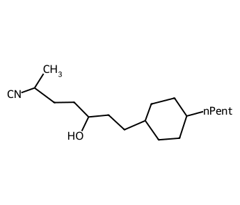 [C-]#[N+]C(C)CCC(O)CCC1CCC(CCCCC)CC1